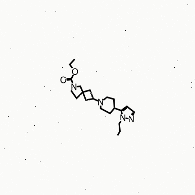 CCCn1nccc1C1CCN(C2CC3(CCN(C(=O)OCC)C3)C2)CC1